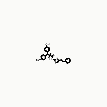 CC(C)(C(=O)Nc1nc(CCc2ccccc2)cs1)C(c1ccc(O)cc1)c1ccc(O)cc1